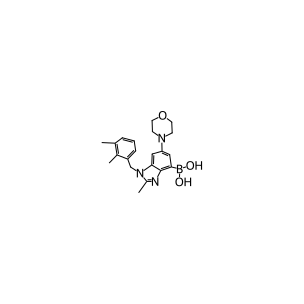 Cc1cccc(Cn2c(C)nc3c(B(O)O)cc(N4CCOCC4)cc32)c1C